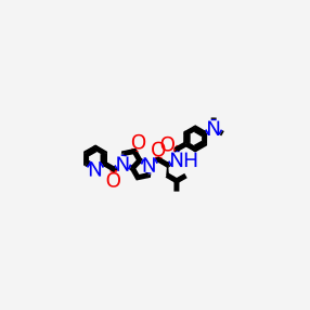 CC(C)C[C@H](NC(=O)c1ccc(N(C)C)cc1)C(=O)N1CCC2C1C(=O)CN2C(=O)c1ccccn1